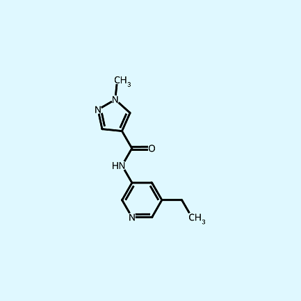 CCc1cncc(NC(=O)c2cnn(C)c2)c1